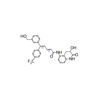 O=C(/C=C/C=C(\c1ccc(C(F)(F)F)cc1)c1cccc(CO)c1)Nc1cccc2c1CC(O)C(=O)N2